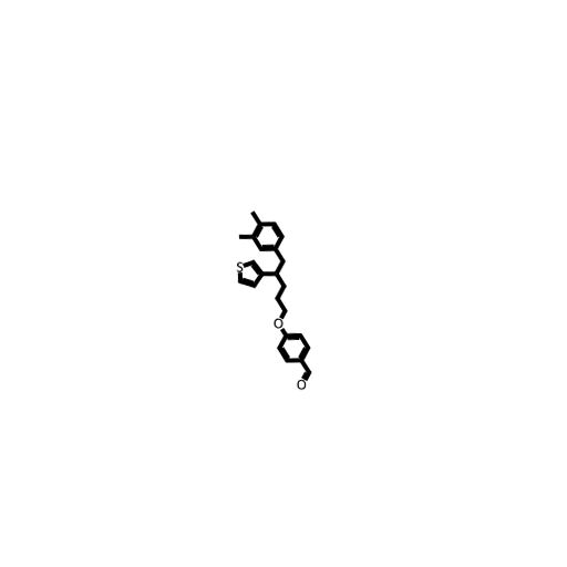 Cc1ccc(CC(CCCOc2ccc(C=O)cc2)c2ccsc2)cc1C